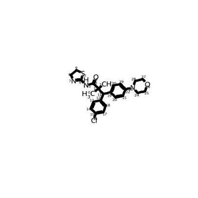 CC(C)(C(=O)NC1=NCCS1)C(c1ccc(Cl)cc1)c1ccc(N2CCOCC2)cc1